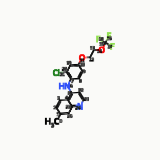 Cc1ccc2c(Nc3ccc(OCCOC(F)(F)F)cc3Cl)ccnc2c1